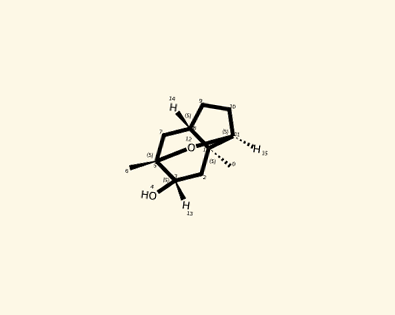 C[C@]12C[C@H](O)[C@]3(C)C[C@@H]1CC[C@@H]2O3